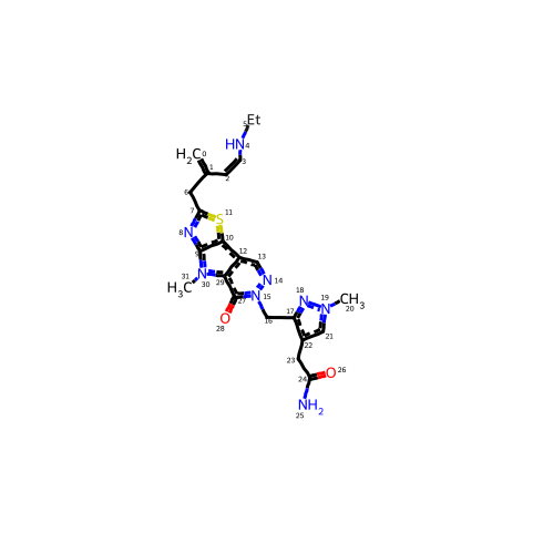 C=C(/C=C\NCC)Cc1nc2c(s1)c1cnn(Cc3nn(C)cc3CC(N)=O)c(=O)c1n2C